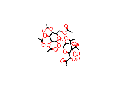 CC(=O)OC[C@H]1O[C@@H](O[C@H]2O[C@H](C(O)C(C)=O)[C@](O)(C(C)=O)[C@@](O)(C(C)=O)[C@@H]2O)[C@@H](OC(C)=O)[C@@H](OC(C)=O)[C@@H]1OC(C)=O